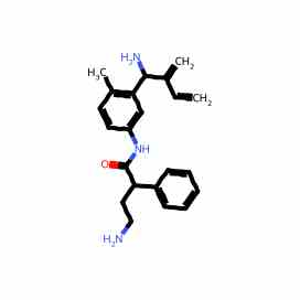 C=CC(=C)C(N)c1cc(NC(=O)C(CCN)c2ccccc2)ccc1C